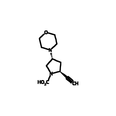 C#C[C@@H]1C[C@@H](N2CCOCC2)CN1C(=O)O